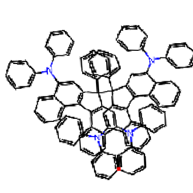 c1ccc(N(c2ccccc2)c2cc3c(c4ccccc24)-c2c(cc(N(c4ccccc4)c4ccccc4)c4ccccc24)C3(c2ccccc2)C2(c3ccccc3)c3cc(N(c4ccccc4)c4ccccc4)c4ccccc4c3-c3c2cc(N(c2ccccc2)c2ccccc2)c2ccccc32)cc1